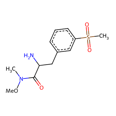 CON(C)C(=O)C(N)Cc1cccc(S(C)(=O)=O)c1